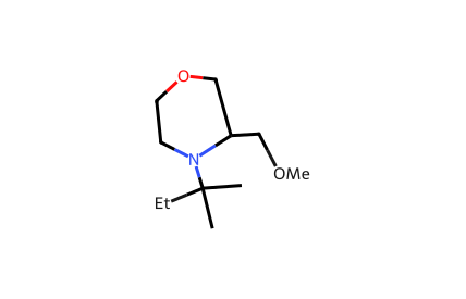 CCC(C)(C)N1CCOCC1COC